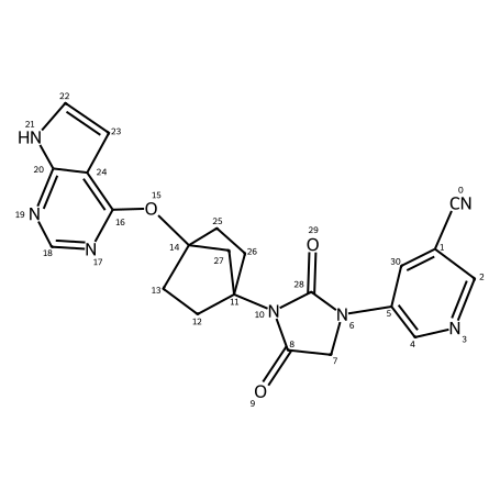 N#Cc1cncc(N2CC(=O)N(C34CCC(Oc5ncnc6[nH]ccc56)(CC3)C4)C2=O)c1